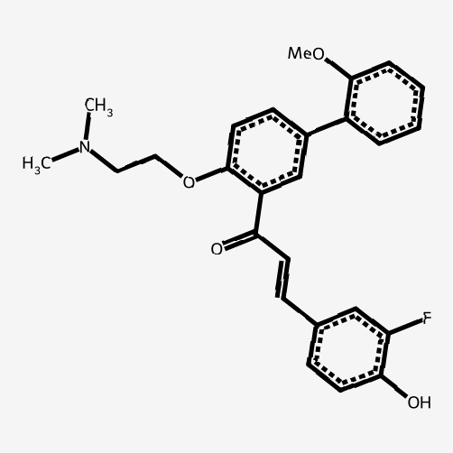 COc1ccccc1-c1ccc(OCCN(C)C)c(C(=O)/C=C/c2ccc(O)c(F)c2)c1